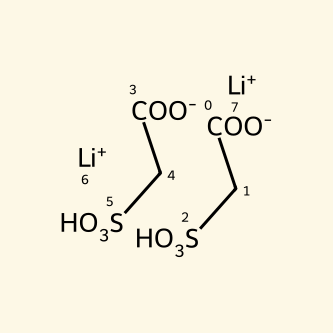 O=C([O-])CS(=O)(=O)O.O=C([O-])CS(=O)(=O)O.[Li+].[Li+]